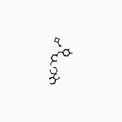 O=C(N[C@@H](c1ccc(F)c(F)c1)c1ccc(CN2CCC3(CC2)OCc2ccncc23)cn1)C1CCC1